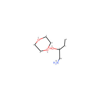 C1COCCO1.CCC(O)CN